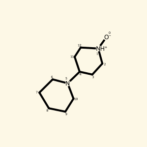 [O-][NH+]1CCC(N2CCCCC2)CC1